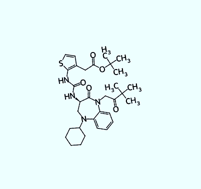 CC(C)(C)OC(=O)Cc1ccsc1NC(=O)N[C@@H]1CN(C2CCCCC2)c2ccccc2N(CC(=O)C(C)(C)C)C1=O